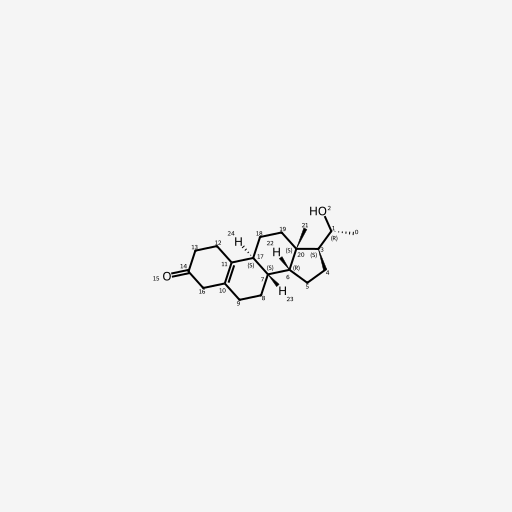 C[C@@H](O)[C@H]1CC[C@@H]2[C@@H]3CCC4=C(CCC(=O)C4)[C@H]3CC[C@@]21C